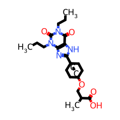 CCCn1c(=O)c2[nH]c(C34CCC(OCC(C)C(=O)O)(CC3)CC4)nc2n(CCC)c1=O